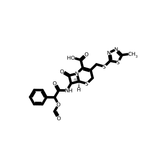 Cc1nnc(SCC2=C(C(=O)O)N3C(=O)C(NC(=O)C(OC=O)c4ccccc4)[C@@H]3SC2)s1